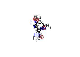 C[C@@H]1CCCC[C@H](NC(=O)OC(C)(C)C)c2cncc(c2)-c2ccc(CNC(=O)C(F)(F)F)cc2NC1=O